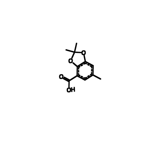 Cc1cc2c(c(C(=O)O)c1)OC(C)(C)O2